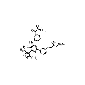 CNCC(O)COc1cccc(-c2nc(NC3CCCN(C(=O)N(C)C)C3)c(C)c(-c3c(C)noc3C)n2)c1